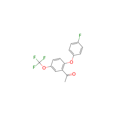 CC(=O)c1cc(OC(F)(F)F)ccc1Oc1ccc(F)cc1